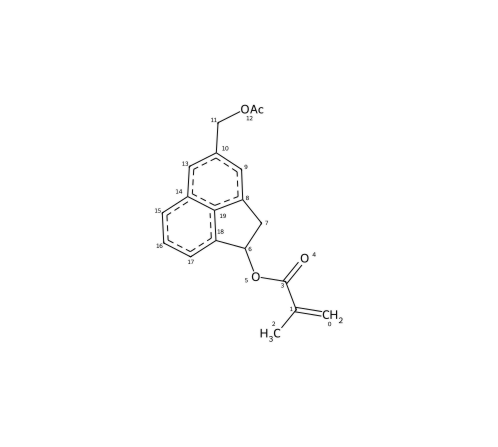 C=C(C)C(=O)OC1Cc2cc(COC(C)=O)cc3cccc1c23